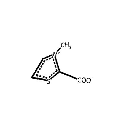 C[n+]1ccsc1C(=O)[O-]